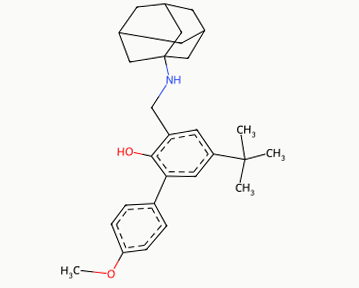 COc1ccc(-c2cc(C(C)(C)C)cc(CNC34CC5CC(CC(C5)C3)C4)c2O)cc1